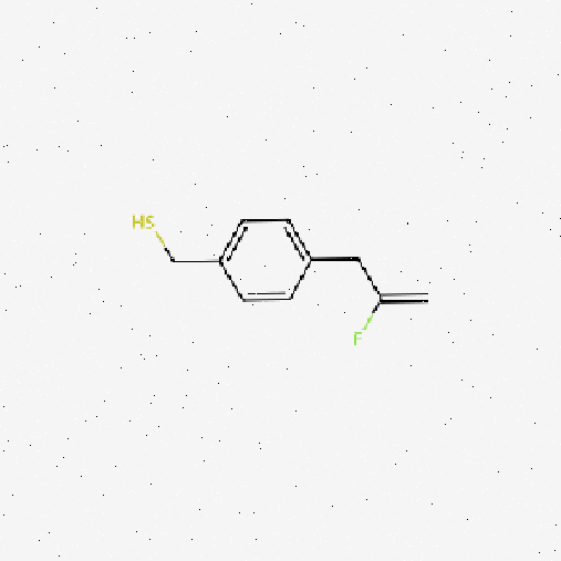 C=C(F)Cc1ccc(CS)cc1